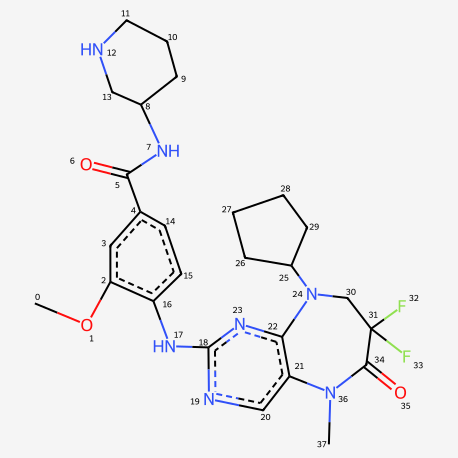 COc1cc(C(=O)NC2CCCNC2)ccc1Nc1ncc2c(n1)N(C1CCCC1)CC(F)(F)C(=O)N2C